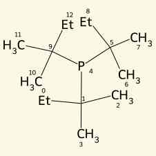 CCC(C)(C)P(C(C)(C)CC)C(C)(C)CC